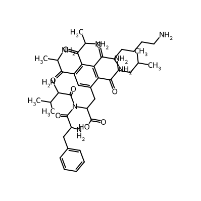 CC(C)CC(N)C(=O)c1c(CC(C(=O)O)N(C(=O)C(N)Cc2ccccc2)C(=O)C(N)C(C)C)cc(C(=O)C(C)N)c(C(=O)C(C)N)c1C(=O)C(N)CCCCN